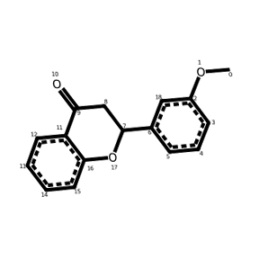 COc1cccc(C2CC(=O)c3ccccc3O2)c1